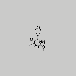 COC(=O)NC(C(=O)O)C1C2COCC21